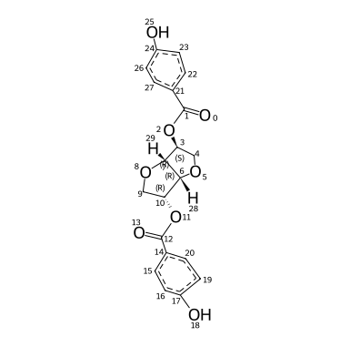 O=C(O[C@H]1CO[C@H]2[C@@H]1OC[C@H]2OC(=O)c1ccc(O)cc1)c1ccc(O)cc1